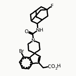 O=C(O)CC1=CC2(CCN(C(=O)NC3C4CC5CC3CC(F)(C5)C4)CC2)c2c(Br)cccc21